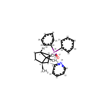 CC1(C)[C@@H]2CC[C@@]1(C)[C@@H](c1ccccn1)[C@H]2P(=O)(c1ccccc1)c1ccccc1